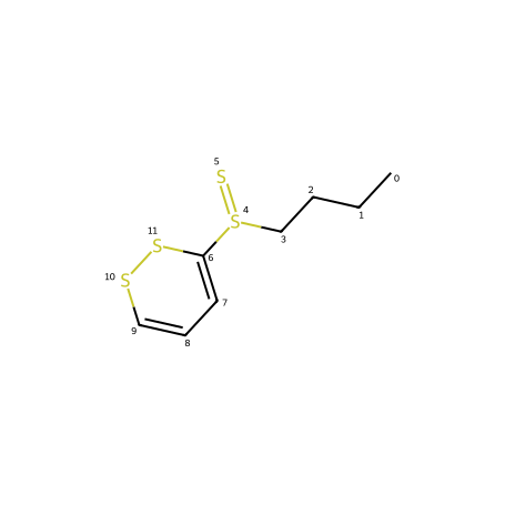 CCCCS(=S)C1=CC=CSS1